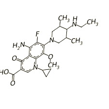 CCNC1C(C)CN(c2c(F)c(N)c3c(=O)c(C(=O)O)cn(C4CC4)c3c2OC)CC1C